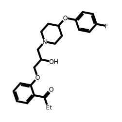 CCC(=O)c1ccccc1OCC(O)CN1CCC(Oc2ccc(F)cc2)CC1